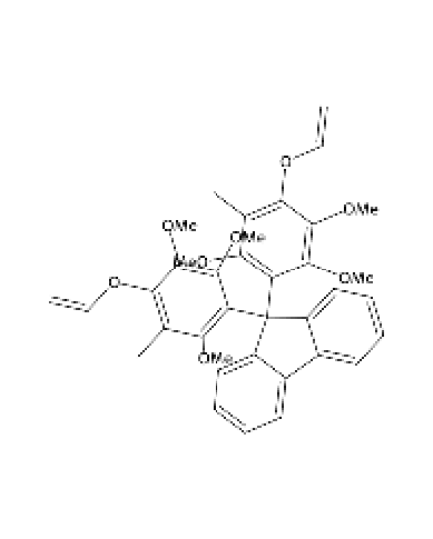 C=COc1c(C)c(OC)c(C2(c3c(OC)c(C)c(OC=C)c(OC)c3OC)c3ccccc3-c3ccccc32)c(OC)c1OC